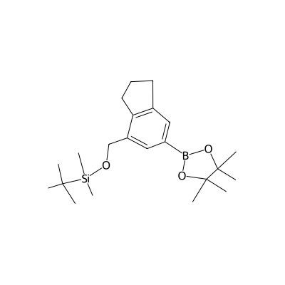 CC1(C)OB(c2cc3c(c(CO[Si](C)(C)C(C)(C)C)c2)CCC3)OC1(C)C